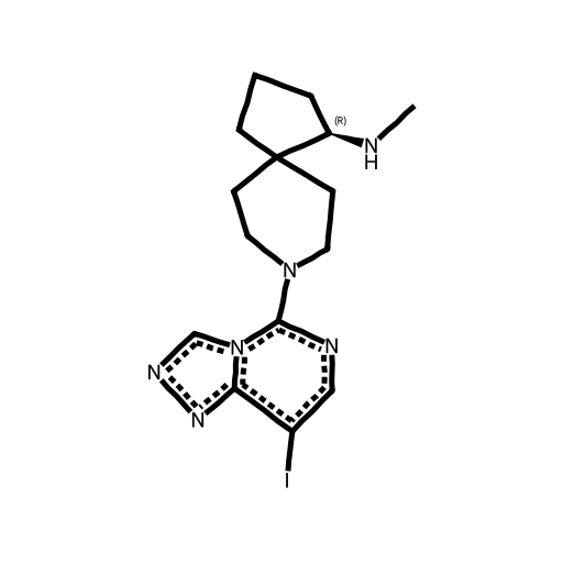 CN[C@@H]1CCCC12CCN(c1ncc(I)c3nncn13)CC2